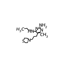 CCCCNc1nc(N)nc(C)c1CCCN1CCSCC1